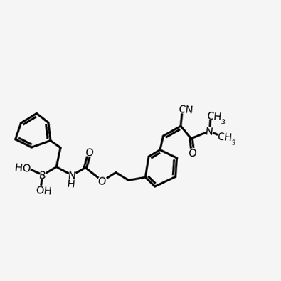 CN(C)C(=O)C(C#N)=Cc1cccc(CCOC(=O)NC(Cc2ccccc2)B(O)O)c1